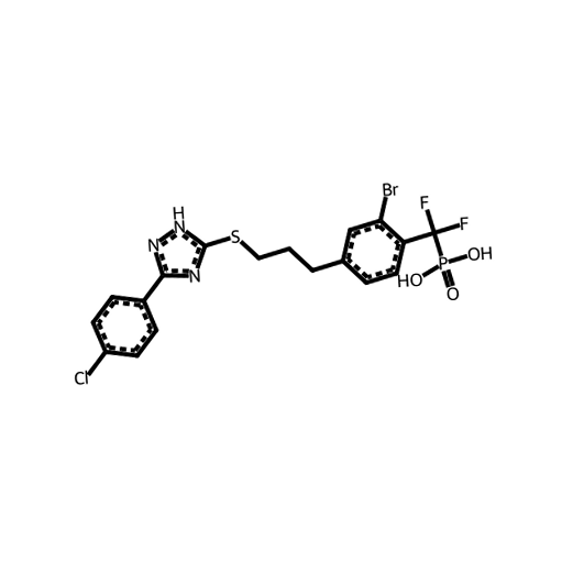 O=P(O)(O)C(F)(F)c1ccc(CCCSc2nc(-c3ccc(Cl)cc3)n[nH]2)cc1Br